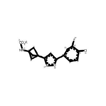 O=C(O)NC12CC(c3cc(-c4ccc(Cl)c(F)c4)on3)(C1)C2